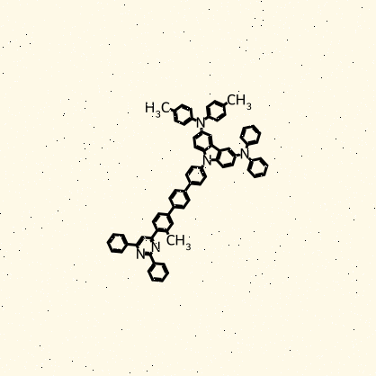 Cc1ccc(N(c2ccc(C)cc2)c2ccc3c(c2)c2cc(N(c4ccccc4)c4ccccc4)ccc2n3-c2ccc(-c3ccc(-c4ccc(-c5cc(-c6ccccc6)nc(-c6ccccc6)n5)c(C)c4)cc3)cc2)cc1